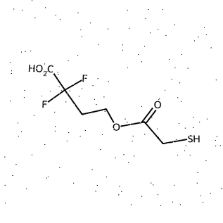 O=C(CS)OCCC(F)(F)C(=O)O